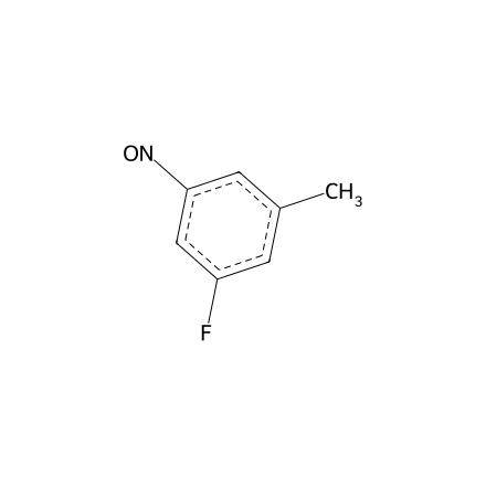 Cc1cc(F)cc(N=O)c1